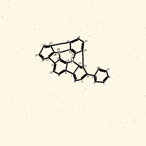 c1ccc(-c2ccc3c4ccc5c6c4n4c7c8c(ccc7c2c34)-c2cccc-5c2B68)cc1